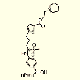 CCCCCC(O)c1ccc(NN(CCCc2ccc(C(=O)OCCN3CCCCC3)s2)S(C)(=O)=O)cc1